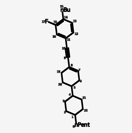 CCCCCC1CCC(C2CC=C(C#Cc3ccc(CCCC)c(F)c3)CC2)CC1